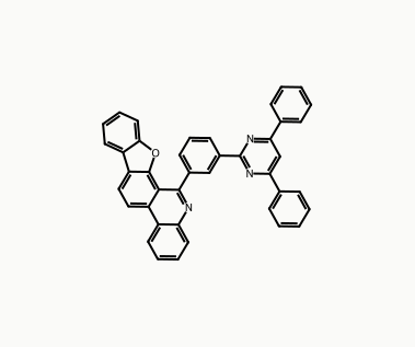 c1ccc(-c2cc(-c3ccccc3)nc(-c3cccc(-c4nc5ccccc5c5ccc6c7ccccc7oc6c45)c3)n2)cc1